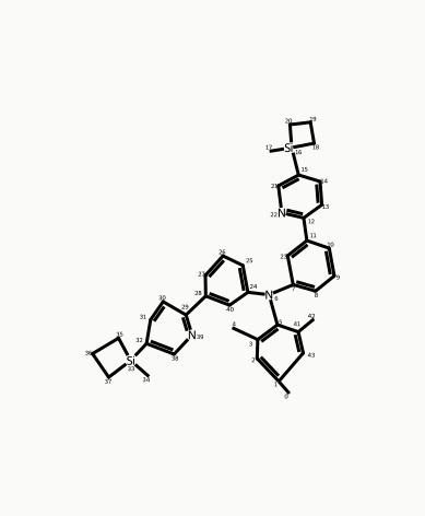 Cc1cc(C)c(N(c2cccc(-c3ccc([Si]4(C)CCC4)cn3)c2)c2cccc(-c3ccc([Si]4(C)CCC4)cn3)c2)c(C)c1